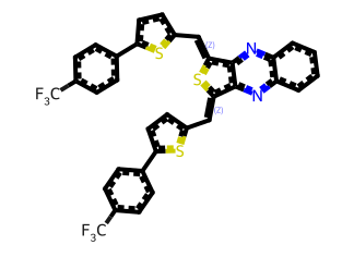 FC(F)(F)c1ccc(-c2ccc(/C=c3\s/c(=C\c4ccc(-c5ccc(C(F)(F)F)cc5)s4)c4nc5ccccc5nc34)s2)cc1